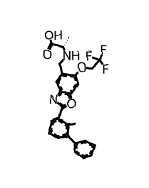 Cc1c(-c2ccccc2)cccc1-c1nc2cc(CN[C@@H](C)C(=O)O)c(OCC(F)(F)F)cc2o1